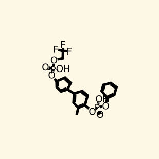 Cc1cc(-c2ccc(OP(=O)(O)OCC(F)(F)F)cc2)ccc1OP(=O)(O)Oc1ccccc1